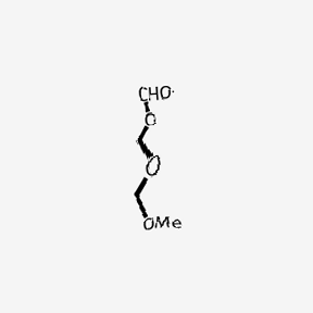 COCOCO[C]=O